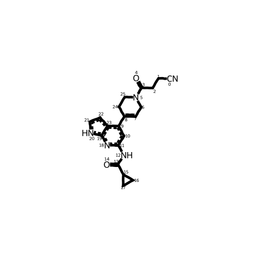 N#CCCC(=O)N1CC=C(c2cc(NC(=O)C3CC3)nc3[nH]ccc23)CC1